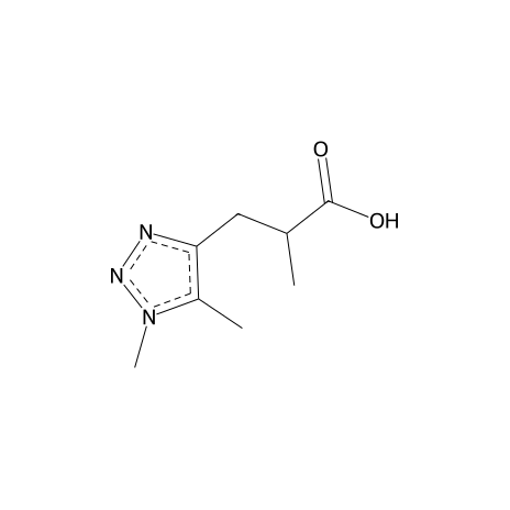 Cc1c(CC(C)C(=O)O)nnn1C